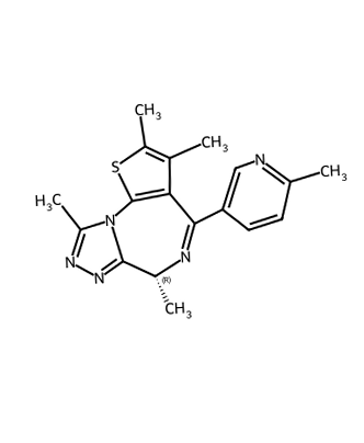 Cc1ccc(C2=N[C@H](C)c3nnc(C)n3-c3sc(C)c(C)c32)cn1